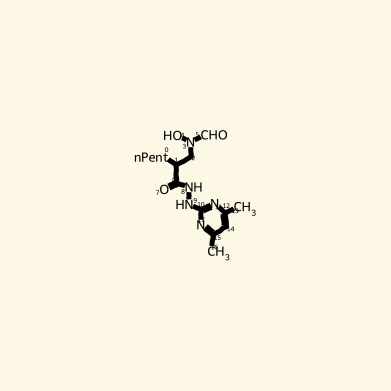 CCCCCC(CN(O)C=O)C(=O)NNc1nc(C)cc(C)n1